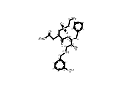 COC(=O)CC(CS(=O)(=O)CCC(C)C)C(=O)N[C@@H](Cc1ccccc1)[C@@H](O)CNCc1cccc(OC)c1